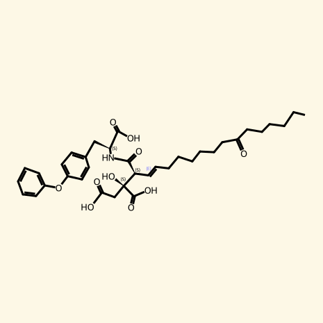 CCCCCCC(=O)CCCCCC/C=C/[C@H](C(=O)N[C@@H](Cc1ccc(Oc2ccccc2)cc1)C(=O)O)[C@@](O)(CC(=O)O)C(=O)O